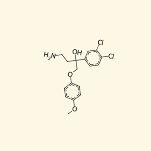 COc1ccc(OCC(O)(CCN)c2ccc(Cl)c(Cl)c2)cc1